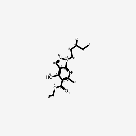 CCOC(=O)c1c(C)nc2c(cnn2CCC(C)CC)c1O